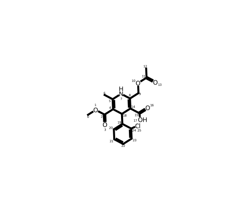 COC(=O)C1=C(C)NC(COC(C)=O)=C(C(=O)O)C1c1ccccc1Cl